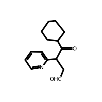 O=CCC(C(=O)C1CCCCC1)c1ccccn1